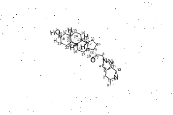 CC1Cc2cn(CC(=O)[C@H]3CC[C@H]4[C@@H]5CC[C@H]6C[C@](C)(O)CC[C@]6(C)[C@H]5CC[C@]34C)nc2C=N1